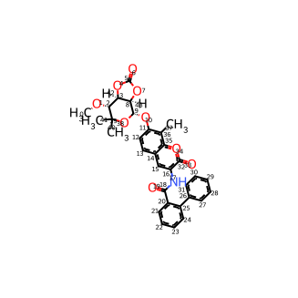 CO[C@@H]1[C@H]2OC(=O)O[C@H]2[C@H](Oc2ccc3cc(NC(=O)c4ccccc4-c4ccccc4)c(=O)oc3c2C)OC1(C)C